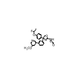 COc1cncc(-c2cccc(C3(c4ccc(OC(F)F)cc4)COC(NOC=O)=N3)c2)c1